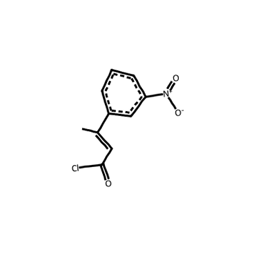 CC(=CC(=O)Cl)c1cccc([N+](=O)[O-])c1